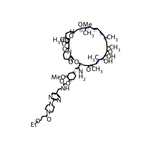 CCOCCC(=O)N1CCN(c2ncc(CNC(=O)O[C@@H]3CC[C@@H](C[C@@H](N)[C@@H]4CC(=O)[C@H](C)/C=C(\C)[C@@H](O)[C@@H](O)C(=O)C(C)C[C@H](C)/C=C/C=C/C=C(\C)[C@@H](OC)C[C@@H]5CC[C@@H](C)[C@@](O)(O5)C(=O)C(=O)N5CCCC[C@H]5C(=O)O4)C[C@H]3OC)cn2)CC1